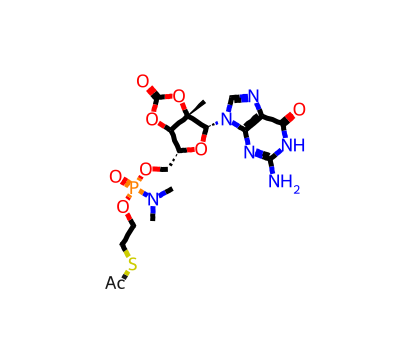 CC(=O)SCCOP(=O)(OC[C@H]1O[C@@H](n2cnc3c(=O)[nH]c(N)nc32)[C@@]2(C)OC(=O)OC12)N(C)C